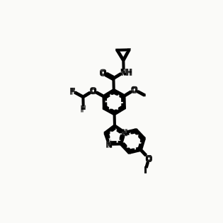 COc1cc(-c2cnc3cc(OI)ccn23)cc(OC(F)F)c1C(=O)NC1CC1